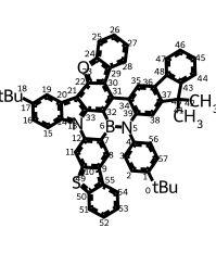 CC(C)(C)c1ccc(N2B3c4cc5c(cc4-n4c6ccc(C(C)(C)C)cc6c6c7oc8ccccc8c7c(c3c64)-c3cc4c(cc32)C(C)(C)c2ccccc2-4)sc2ccccc25)cc1